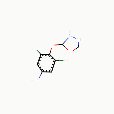 Nc1cc(Cl)c(OC2NNCO2)c(Cl)c1